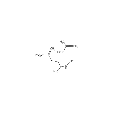 C=C(C)C(=O)O.C=C(CCC(C)NCCC)C(=O)O